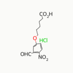 Cl.O=Cc1cc(OCCCCCC(=O)O)ccc1[N+](=O)[O-]